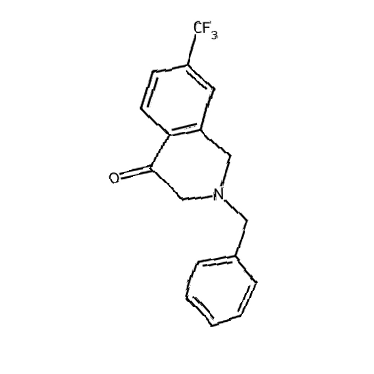 O=C1CN(Cc2ccccc2)Cc2cc(C(F)(F)F)ccc21